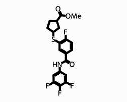 COC(=O)C1CCC(Sc2cc(C(=O)Nc3cc(F)c(F)c(F)c3)ccc2F)C1